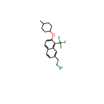 CC1CCC(Oc2ccc3ccc(CCBr)cc3c2C(F)(F)F)CC1